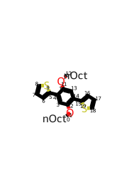 CCCCCCCCOc1cc(-c2cccs2)c(OCCCCCCCC)cc1-c1cccs1